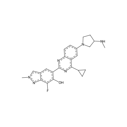 CNC1CCN(c2ccc3nc(-c4cc5cn(C)nc5c(F)c4O)nc(C4CC4)c3c2)C1